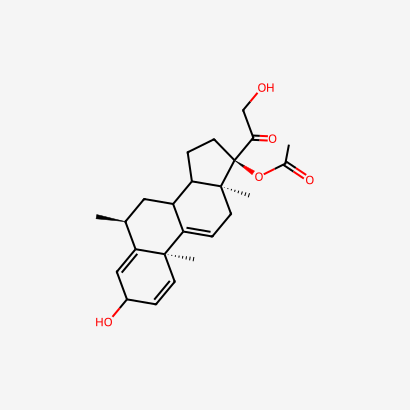 CC(=O)O[C@]1(C(=O)CO)CCC2C3C[C@H](C)C4=CC(O)C=C[C@]4(C)C3=CC[C@@]21C